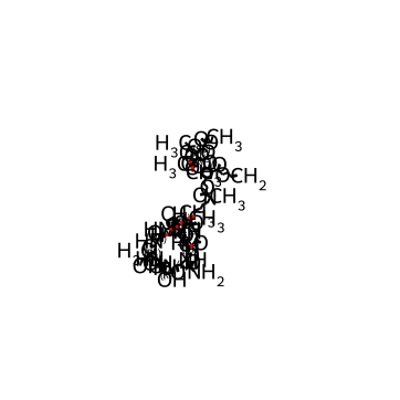 C=CCOC(=O)c1cc(COC(=O)N(C)CCCCCCC23Oc4ccc5c6c([nH]c5c4)[S+]([O-])C[C@H](NC(=O)CNC2=O)C(=O)N[C@@H](CC(N)=O)C(=O)N2C[C@H](O)C[C@H]2C(=O)N[C@@H]([C@@H](C)[C@@H](O)CO)C(=O)N[C@@H](C6)C(=O)NCC(=O)N[C@H]3[C@@H](C)CC)ccc1O[C@@H]1O[C@H](C(=O)OC)[C@@H](OC(C)=O)[C@H](OC(C)=O)[C@H]1OC(C)=O